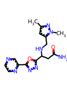 Cc1cc(CNC(CC(N)=O)c2nnc(-c3cnccn3)o2)n(C)n1